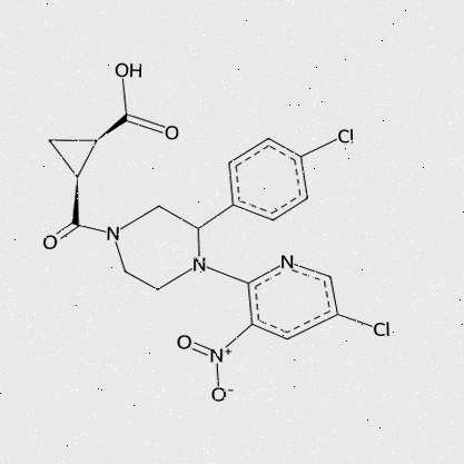 O=C(O)[C@@H]1C[C@@H]1C(=O)N1CCN(c2ncc(Cl)cc2[N+](=O)[O-])C(c2ccc(Cl)cc2)C1